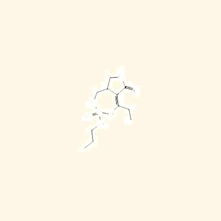 CCCOP1(=O)OCC2COC(=O)C2=C(CC)O1